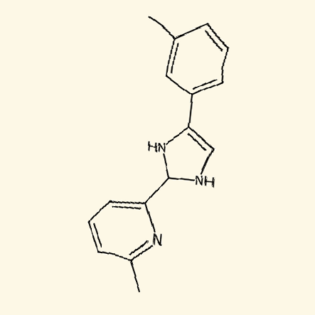 Cc1cccc(C2=CNC(c3cccc(C)n3)N2)c1